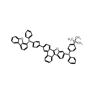 C[Si](C)(C)c1ccc(N(c2ccccc2)c2ccc3c(c2)oc2c4ccc(-c5ccc(N(c6ccccc6)c6cccc7c6oc6ccccc67)cc5)cc4c4ccccc4c32)cc1